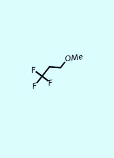 [CH2]OCCC(F)(F)F